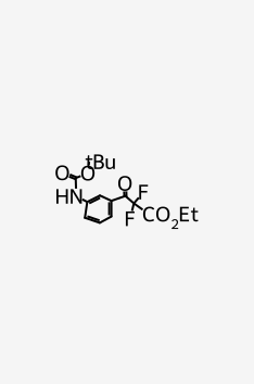 CCOC(=O)C(F)(F)C(=O)c1cccc(NC(=O)OC(C)(C)C)c1